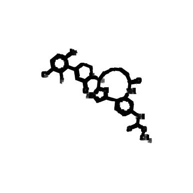 COC(=O)Nc1ccc2c(c1)NC(=O)CCCC[C@H](N1CCC(c3c(Br)ccc(Cl)c3F)=CC1=O)c1nc-2c[nH]1